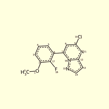 COc1cccc(-c2cc(Cl)nc3ccnn23)c1F